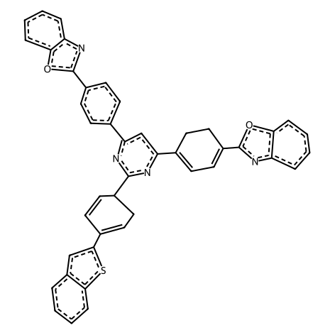 C1=CC(c2nc(C3=CC=C(c4nc5ccccc5o4)CC3)cc(-c3ccc(-c4nc5ccccc5o4)cc3)n2)CC=C1c1cc2ccccc2s1